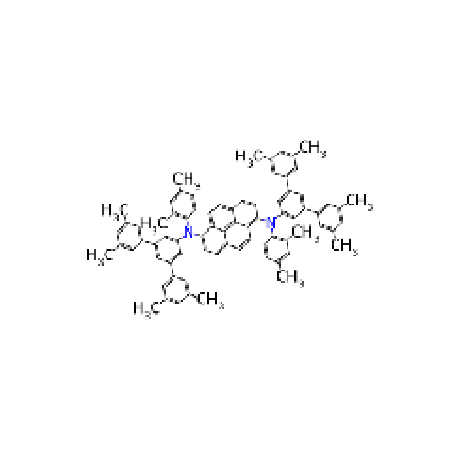 Cc1cc(C)cc(-c2cc(-c3cc(C)cc(C)c3)cc(N(c3ccc(C)cc3C)c3ccc4ccc5c(N(c6cc(-c7cc(C)cc(C)c7)cc(-c7cc(C)cc(C)c7)c6)c6ccc(C)cc6C)ccc6ccc3c4c65)c2)c1